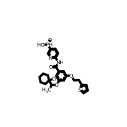 CC(Oc1cc(OCCc2cccs2)cc(C(=O)Nc2ccc([PH](=O)O)cn2)c1)C1(C)CCCCC1